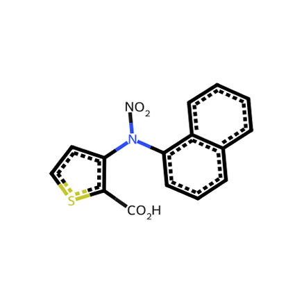 O=C(O)c1sccc1N(c1cccc2ccccc12)[N+](=O)[O-]